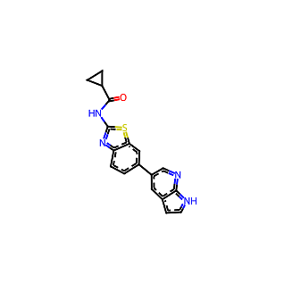 O=C(Nc1nc2ccc(-c3cnc4[nH]ccc4c3)cc2s1)C1CC1